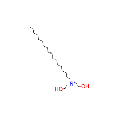 CCCCCCCCC=CCCCCCCCC[N+](C)(CCO)CCO